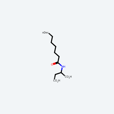 CCCCCCCCCCCCCCCC(=O)NC(CC(=O)O)C(=O)O